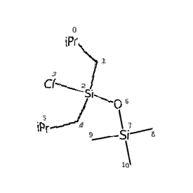 CC(C)C[Si](Cl)(CC(C)C)O[Si](C)(C)C